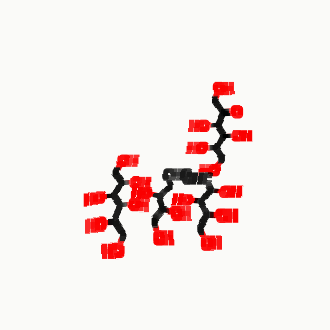 O=C(CO)C(O)C(O)C(O)CO.O=CC(O)C(O)C(O)CO.O=CCC(O)C(O)CO.OCC(O)C(O)C(O)C(O)CO